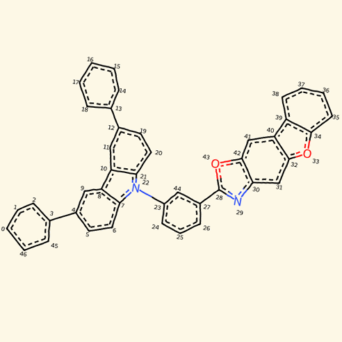 c1ccc(-c2ccc3c(c2)c2cc(-c4ccccc4)ccc2n3-c2cccc(-c3nc4cc5oc6ccccc6c5cc4o3)c2)cc1